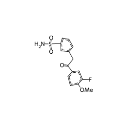 COc1ccc(C(=O)Cc2cccc(S(N)(=O)=O)c2)cc1F